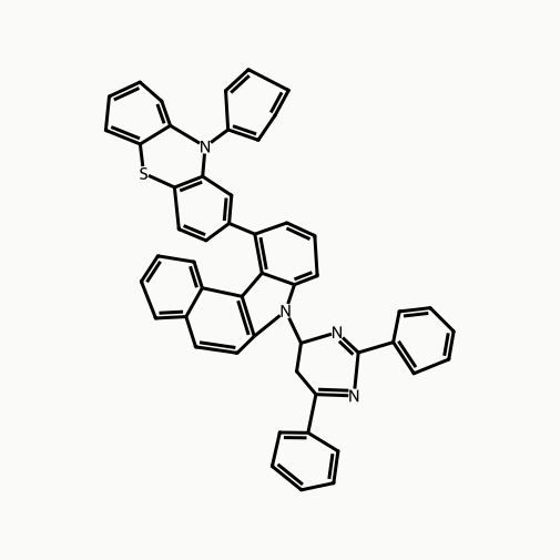 c1ccc(C2=NC(c3ccccc3)=NC(n3c4cccc(-c5ccc6c(c5)N(c5ccccc5)c5ccccc5S6)c4c4c5ccccc5ccc43)C2)cc1